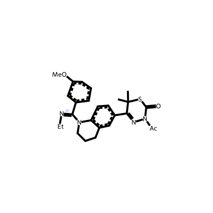 CC/N=C(/c1cccc(OC)c1)N1CCCc2cc(C3=NN(C(C)=O)C(=O)SC3(C)C)ccc21